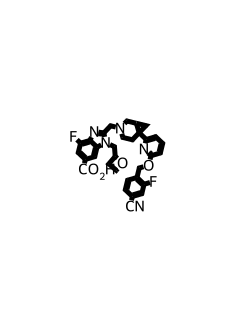 N#Cc1ccc(COc2cccc(C34CCN(Cc5nc6c(F)cc(C(=O)O)cc6n5CC5CCO5)CC3C4)n2)c(F)c1